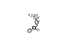 C[C@H]1CN(Cc2ccc(N3CCOCC3)cc2Cl)CCN1C(=O)OC(C(F)(F)F)C(F)(F)F